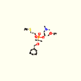 CC(=O)SCCOP(=O)(OC(COC(C)C)CN(C)C)C(C)(C)OCc1ccccc1